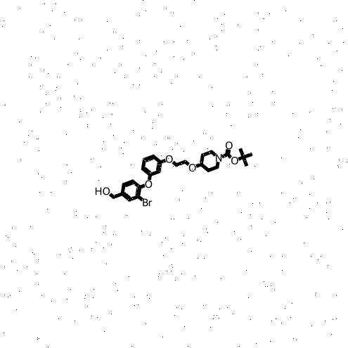 CC(C)(C)OC(=O)N1CCC(OCCOc2cccc(Oc3ccc(CO)cc3Br)c2)CC1